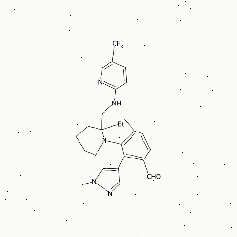 CCC1(CNc2ccc(C(F)(F)F)cn2)CCCCN1c1c(C)ccc(C=O)c1-c1cnn(C)c1